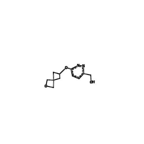 OCc1ccc(OC2CC3(COC3)C2)nn1